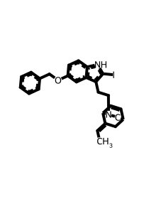 C/C=C1\CC2C=CC1N(CCc1c(I)[nH]c3ccc(OCc4ccccc4)cc13)C2